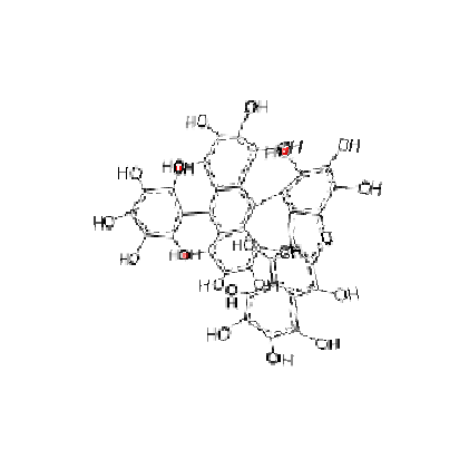 Oc1c(O)c(O)c(-c2c3c(O)c(O)c(O)c(O)c3c(-c3c(O)c(O)c(O)c4oc5c(O)c6c(O)c(O)c(O)c(O)c6c(O)c5c34)c3c(O)c(O)c(O)c(O)c23)c(O)c1O